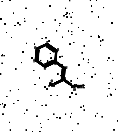 CCCCCC(=Cc1ccccc1)C(C)=O